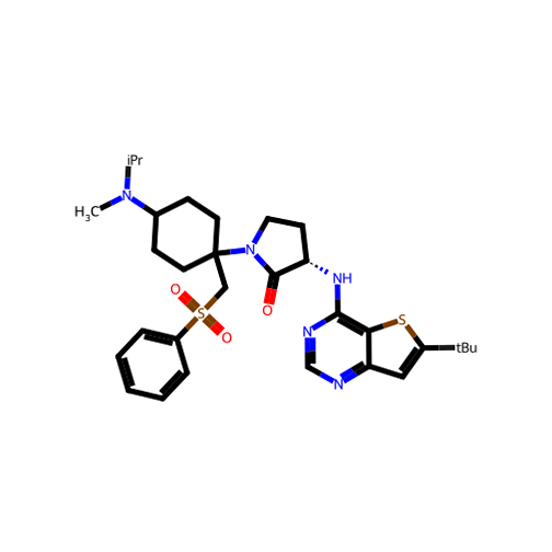 CC(C)N(C)C1CCC(CS(=O)(=O)c2ccccc2)(N2CC[C@H](Nc3ncnc4cc(C(C)(C)C)sc34)C2=O)CC1